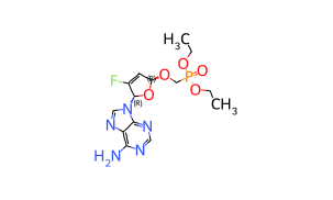 CCOP(=O)(CO[C@@H]1C=C(F)[C@H](n2cnc3c(N)ncnc32)O1)OCC